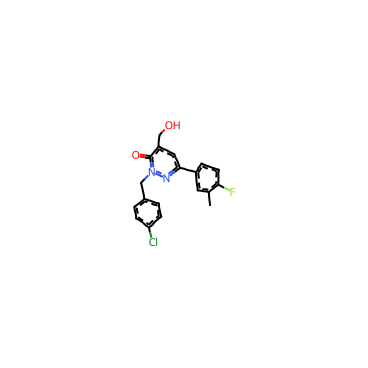 Cc1cc(-c2cc(CO)c(=O)n(Cc3ccc(Cl)cc3)n2)ccc1F